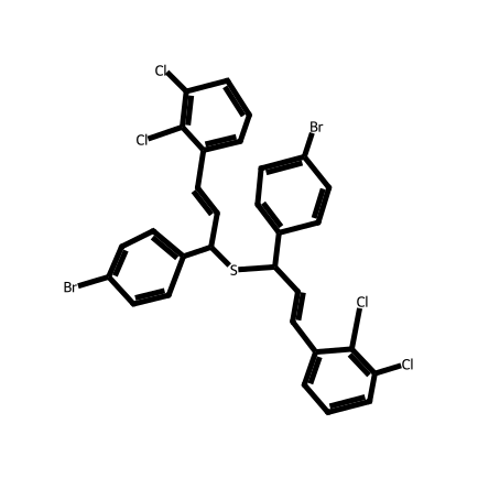 Clc1cccc(C=CC(SC(C=Cc2cccc(Cl)c2Cl)c2ccc(Br)cc2)c2ccc(Br)cc2)c1Cl